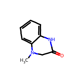 CN1CC(=O)Nc2ccccc21